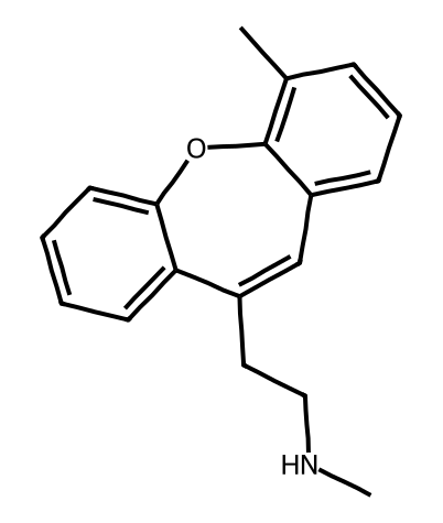 CNCCC1=Cc2cccc(C)c2Oc2ccccc21